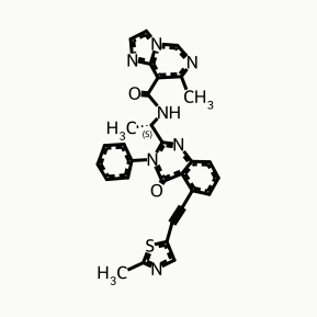 Cc1ncc(C#Cc2cccc3nc([C@H](C)NC(=O)c4c(C)ncn5ccnc45)n(-c4ccccc4)c(=O)c23)s1